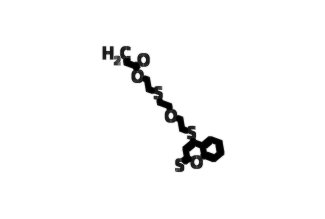 C=CC(=O)OCCSCCOCCSc1cc(=S)oc2ccccc12